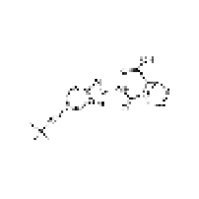 CC(C)(C)C#Cc1ccc2nc(NC(=O)[C@@H]3C4C=CC(C4)[C@@H]3C(=O)O)sc2c1